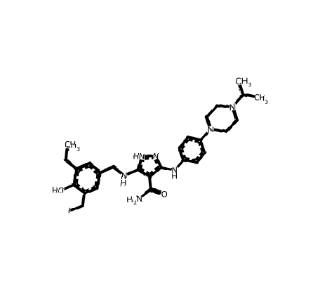 CCc1cc(CNc2[nH]nc(Nc3ccc(N4CCN(C(C)C)CC4)cc3)c2C(N)=O)cc(CI)c1O